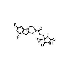 O=C1NC(=O)[C@](CCC(=O)N2CCN3c4cc(F)cc(F)c4CC3C2)(C2CC2)N1